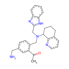 CC(=O)c1cc(CN)ccc1CN(Cc1nc2ccccc2[nH]1)C1CCCc2cccnc21